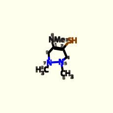 CNC1=C(S)CN(C)N(C)C1